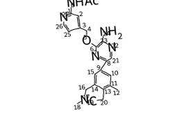 CC(=O)Nc1cc(COc2nc(-c3cc(C)c4c(c3)CN(C)CC4)cnc2N)ccn1